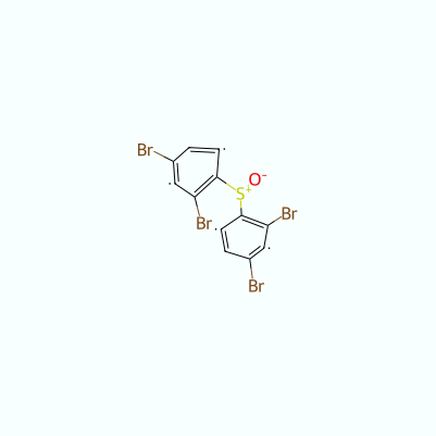 [O-][S+](c1[c]cc(Br)[c]c1Br)c1[c]cc(Br)[c]c1Br